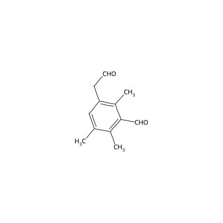 Cc1cc(CC=O)c(C)c(C=O)c1C